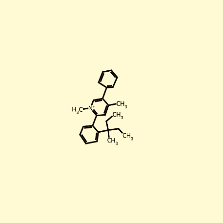 CCC(C)(CC)c1ccccc1-c1cc(C)c(-c2ccccc2)c[n+]1C